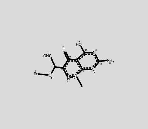 CCOC(C=O)c1nn(C)c2nc(N)nc(O)c2c1=O